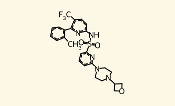 Cc1ccccc1-c1nc(NS(=O)(=O)c2cccc(N3CCN(C4COC4)CC3)n2)ccc1C(F)(F)F